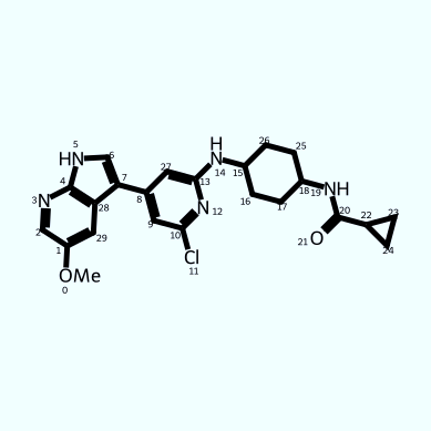 COc1cnc2[nH]cc(-c3cc(Cl)nc(NC4CCC(NC(=O)C5CC5)CC4)c3)c2c1